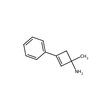 CC1(N)C=C(c2ccccc2)C1